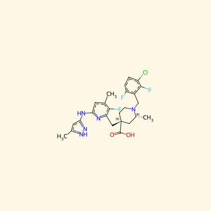 Cc1cc(Nc2cc(C)c(F)c(C[C@@]3(C(=O)O)CCN(Cc4c(F)ccc(Cl)c4F)[C@H](C)C3)n2)n[nH]1